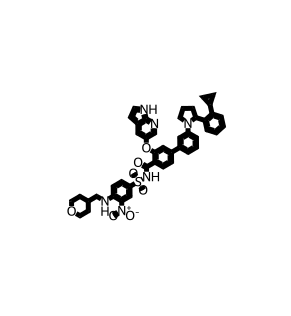 O=C(NS(=O)(=O)c1ccc(NCC2CCOCC2)c([N+](=O)[O-])c1)c1ccc(-c2cccc(N3CCCC3c3ccccc3C3CC3)c2)cc1Oc1cnc2[nH]ccc2c1